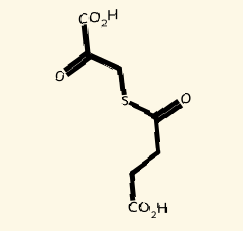 O=C(O)CCC(=O)SCC(=O)C(=O)O